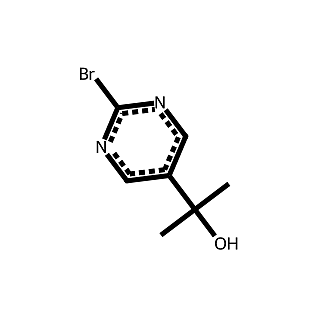 CC(C)(O)c1cnc(Br)nc1